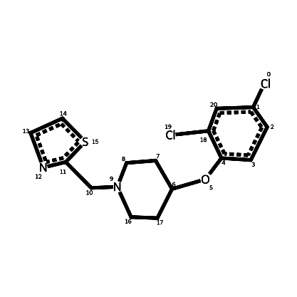 Clc1ccc(OC2CCN(Cc3nc[c]s3)CC2)c(Cl)c1